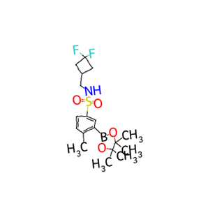 Cc1ccc(S(=O)(=O)NCC2CC(F)(F)C2)cc1B1OC(C)(C)C(C)(C)O1